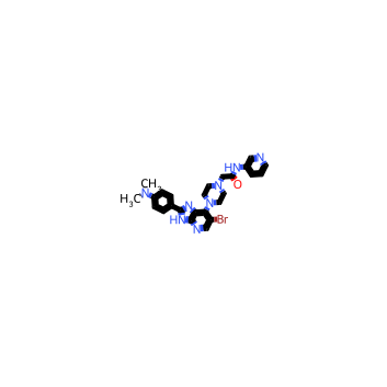 CN(C)c1ccc(-c2nc3c(N4CCN(CC(=O)Nc5cccnc5)CC4)c(Br)cnc3[nH]2)cc1